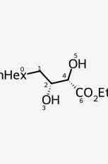 CCCCCCC[C@@H](O)[C@H](O)C(=O)OCC